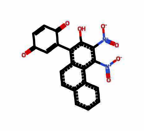 O=C1C=CC(=O)C(c2c(O)c([N+](=O)[O-])c([N+](=O)[O-])c3c2ccc2ccccc23)=C1